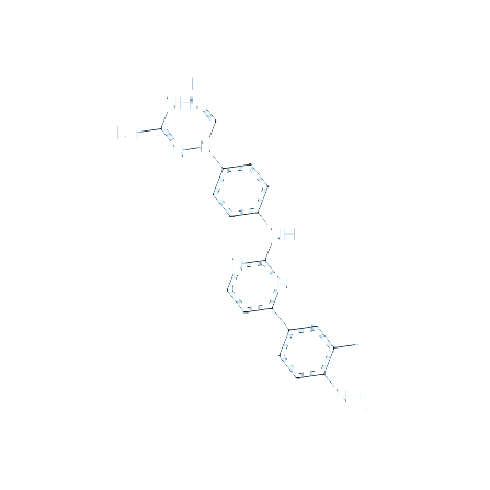 C=CN(/N=C(\N)C(C)(C)C)c1ccc(Nc2nccc(-c3ccc(N)c(F)c3)n2)cc1